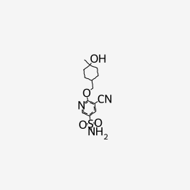 CC1(O)CCC(COc2ncc(S(N)(=O)=O)cc2C#N)CC1